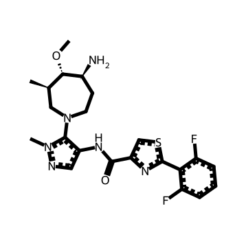 CO[C@H]1[C@H](C)CN(c2c(NC(=O)c3csc(-c4c(F)cccc4F)n3)cnn2C)CC[C@@H]1N